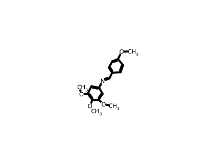 COc1ccc(C=Nc2cc(OC)c(OC)c(OC)c2)cc1